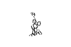 CCNc1nc2cc(OCCCN3CCCC3)c(OC)cc2c2c1COCC2